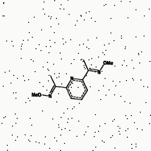 CO/N=C(\C)c1cccc(/C(C)=N/OC)n1